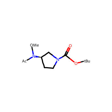 CON(C(C)=O)[C@@H]1CCN(C(=O)OC(C)(C)C)C1